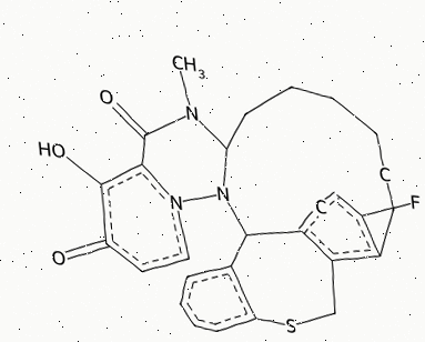 CN1C(=O)c2c(O)c(=O)ccn2N2C3c4ccccc4SCc4c3ccc(F)c4CCCCCCC12